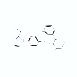 CCc1nccn1-c1ccc(COC2C(OC)CCOC2c2cccc(F)c2)cc1.Cl